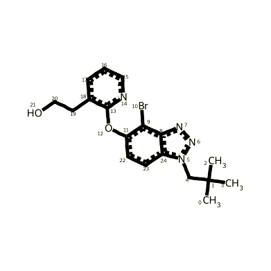 CC(C)(C)Cn1nnc2c(Br)c(Oc3ncccc3CCO)ccc21